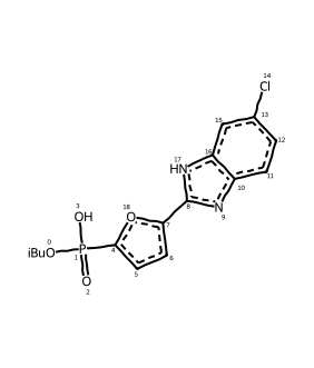 CC(C)COP(=O)(O)c1ccc(-c2nc3ccc(Cl)cc3[nH]2)o1